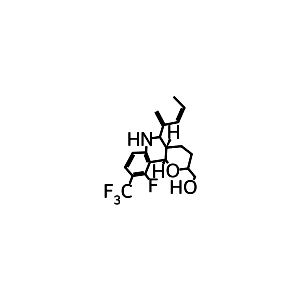 C=C(/C=C\C)C1Nc2ccc(C(F)(F)F)c(F)c2[C@H]2OC(CO)CC[C@@H]12